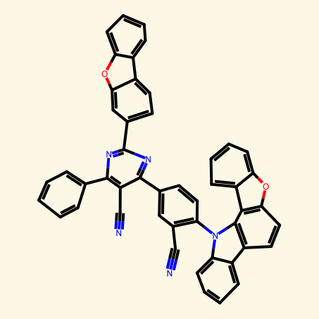 N#Cc1cc(-c2nc(-c3ccc4c(c3)oc3ccccc34)nc(-c3ccccc3)c2C#N)ccc1-n1c2ccccc2c2ccc3oc4ccccc4c3c21